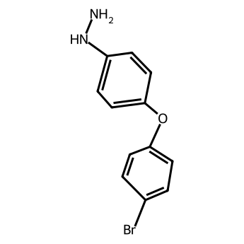 NNc1ccc(Oc2ccc(Br)cc2)cc1